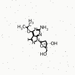 CC(C)Oc1nc(N)nc2c1c(I)nn2[C@H]1C[C@H](O)[C@@H](CO)O1